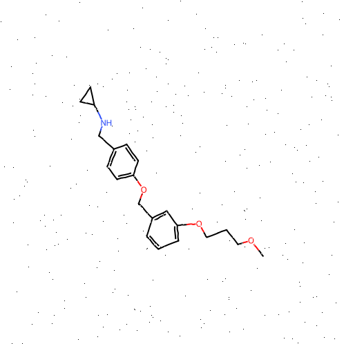 COCCCOc1cccc(COc2ccc(CNC3CC3)cc2)c1